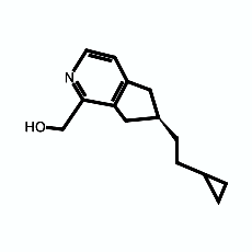 OCc1nccc2c1C[C@H](CCC1CC1)C2